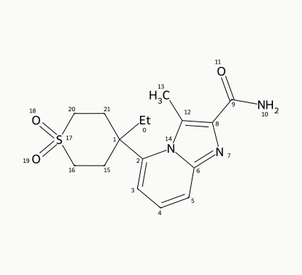 CCC1(c2cccc3nc(C(N)=O)c(C)n23)CCS(=O)(=O)CC1